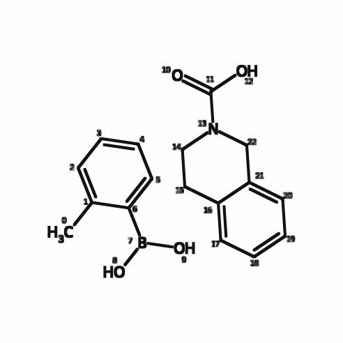 Cc1ccccc1B(O)O.O=C(O)N1CCc2ccccc2C1